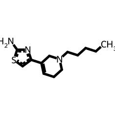 CCCCCN1CCC=C(c2csc(N)n2)C1